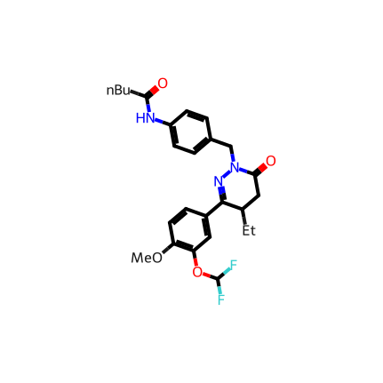 CCCCC(=O)Nc1ccc(CN2N=C(c3ccc(OC)c(OC(F)F)c3)C(CC)CC2=O)cc1